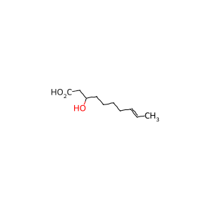 C/C=C/CCCCC(O)CC(=O)O